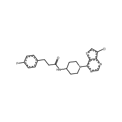 O=C(CCc1ccc(F)cc1)NC1CCN(c2ncnc3c(Cl)csc23)CC1